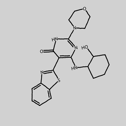 O=c1[nH]c(N2CCOCC2)nc(NC2CCCCC2O)c1-c1nc2ccccc2s1